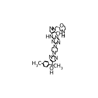 Cc1ccc([C@@](C)(O)c2cnc(N3CCN(c4ncnc(Nc5cnn(C[C@@H]6CNCCO6)c5C)n4)CC3)nc2)cc1